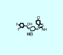 Cl.Cl.N=c1sc2cc(Cl)ccc2n1CC1CCN(C[C@@H](O)c2ccc(F)c(F)c2)CC1